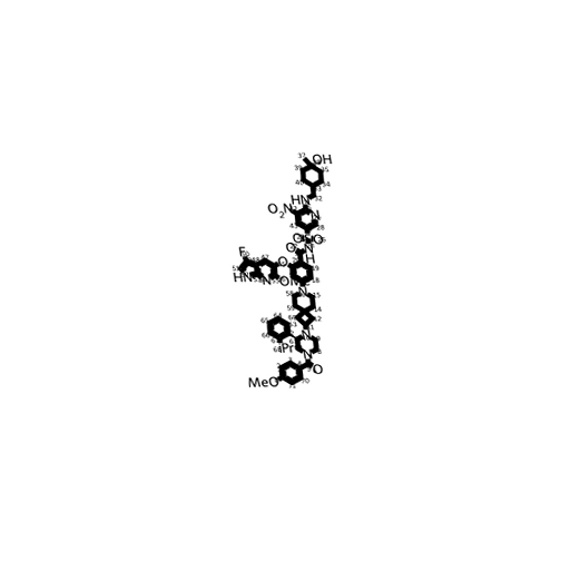 COc1ccc(C(=O)N2CCN(C3CC4(CCN(c5ccc(C(=O)NS(=O)(=O)c6cnc(NCC7CCC(C)(O)CC7)c([N+](=O)[O-])c6)c(Oc6cc7c(F)c[nH]c7nc6OC)c5)CC4)C3)[C@H](c3ccccc3C(C)C)C2)cc1